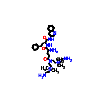 C[N+](C)(CCN)CCN(CC[N+](C)(C)CCN)C(=O)CC[C@H](N)C(=O)N[C@@H](CCc1ccccc1)C(=O)Nc1cnc2ccccc2c1